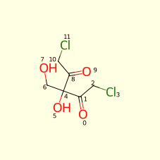 O=C(CCl)C(O)(CO)C(=O)CCl